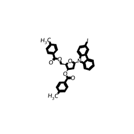 Cc1ccc(C(=O)OC[C@H]2O[C@H](n3c4ccccc4c4cc(I)ccc43)C[C@@H]2OC(=O)c2ccc(C)cc2)cc1